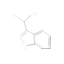 CC(C)C(C)c1n[nH]c2ccccc12